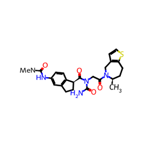 CNC(=O)Nc1ccc2c(c1)CC[C@@H]2C(=O)N(CC(=O)N1Cc2ccsc2CC[C@H]1C)C(N)=O